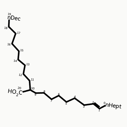 CCCCCCCC=CCCCCCCCC(CCCCCCCCCCCCCCCCCC)C(=O)O